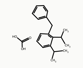 CC(C)c1cccc(Cc2ccccc2)c1C(C)C.O=C(O)O